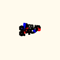 CCOc1c(C(=O)O)cnn1-c1cccc(-c2cccc(C)c2OCc2ccc3c(c2C)CCN(C[C@H]2CCCCO2)CC3)n1